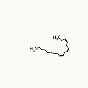 CC/C=C\C/C=C\C/C=C\CCCCCCCN